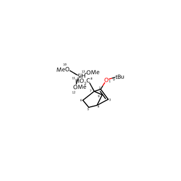 CC(C)(C)OC1=CC2CCC1(C(=O)O)C2.CO[SiH](OC)OC